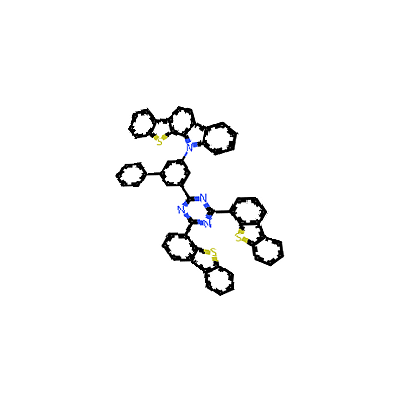 c1ccc(-c2cc(-c3nc(-c4cccc5c4sc4ccccc45)nc(-c4cccc5c4sc4ccccc45)n3)cc(-n3c4ccccc4c4ccc5c6ccccc6sc5c43)c2)cc1